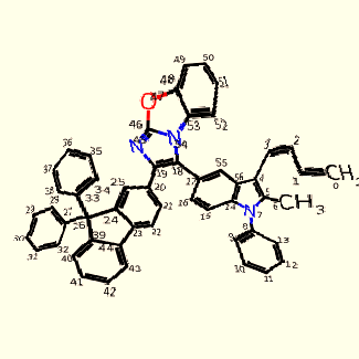 C=C/C=C\c1c(C)n(-c2ccccc2)c2ccc(-c3c(-c4ccc5c(c4)C(c4ccccc4)(c4ccccc4)c4ccccc4-5)nc4oc5ccccc5n34)cc12